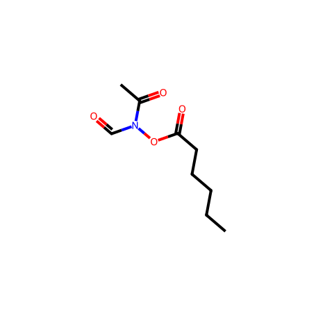 CCCCCC(=O)ON(C=O)C(C)=O